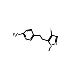 Cn1ncc(I)c1CCc1ccc(C(F)(F)F)nc1